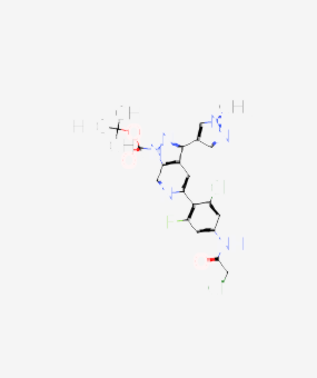 Cn1cc(-c2nn(C(=O)OC(C)(C)C)c3cnc(-c4c(F)cc(NC(=O)CCl)cc4Cl)cc23)cn1